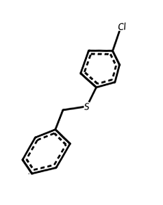 Clc1ccc(SCc2cc[c]cc2)cc1